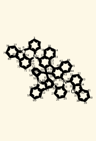 Cc1ccccc1N(c1cc2c(c3ccccc13)-c1c(cc(N(c3ccccc3C)c3cccc4c3oc3ccccc34)c3ccccc13)C21c2ccccc2-n2c3ccccc3c3cccc1c32)c1cccc2c1oc1ccccc12